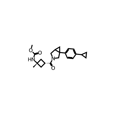 COC(=O)N[C@]1(C)C[C@H](C(=O)N2CC3CC3(c3ccc(C4CC4)cc3)C2)C1